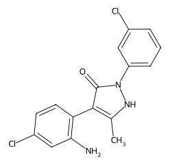 Cc1[nH]n(-c2cccc(Cl)c2)c(=O)c1-c1ccc(Cl)cc1N